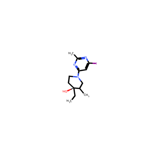 CC[C@]1(O)CCN(c2cc(I)nc(C)n2)CC1C